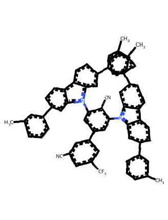 Cc1cccc(-c2ccc3c4ccc(-c5cccc(C)c5)cc4n(-c4cc(-c5cc(C#N)cc(C(F)(F)F)c5)cc(-n5c6cc(-c7cccc(C)c7)ccc6c6ccc(-c7cccc(C)c7)cc65)c4C#N)c3c2)c1